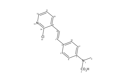 CN(C(=O)O)c1ccc(/C=C/c2cccnc2Cl)cc1